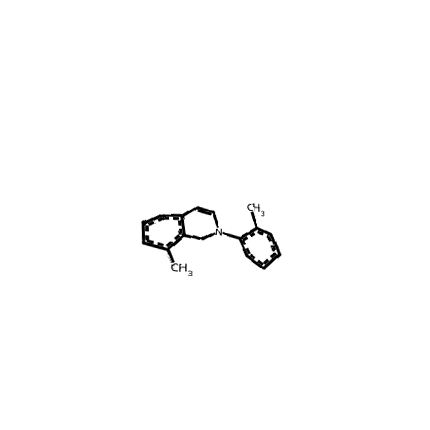 Cc1ccccc1N1C=Cc2cccc(C)c2C1